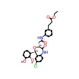 CCOC(=O)CCc1cccc(NC(=O)C[C@H]2O[C@H](c3cccc(OC)c3OC)c3cc(Cl)ccc3NC2=O)c1